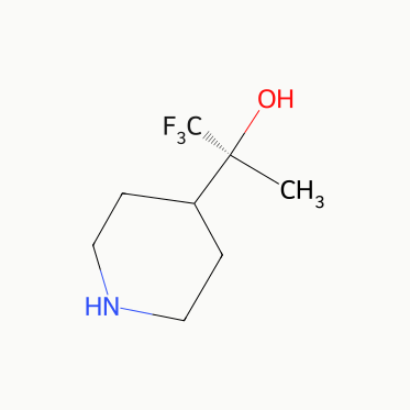 C[C@](O)(C1CCNCC1)C(F)(F)F